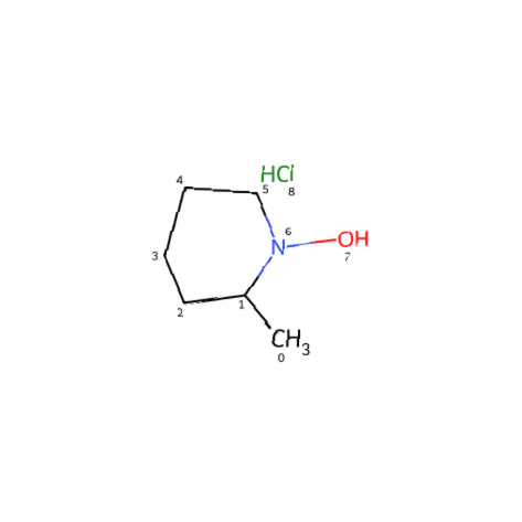 CC1CCCCN1O.Cl